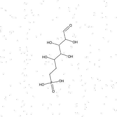 O=CC(O)C(O)C(O)C(O)CCP(=O)(O)O